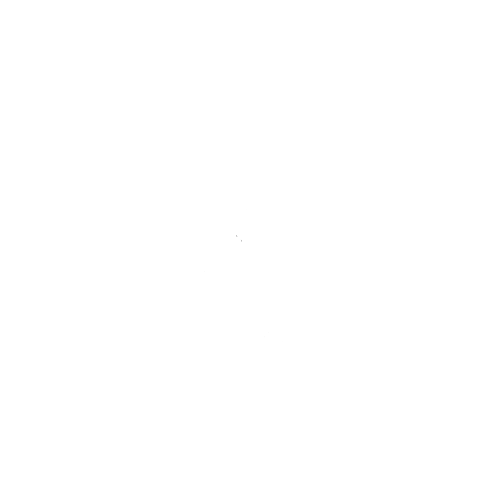 CCCCN(CC)C1CCCCCC1